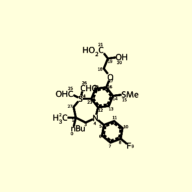 CCCCC1(C)CN(c2ccc(F)cc2)c2cc(SC)c(OCC(O)C(=O)O)cc2S(C=O)(C=O)C1